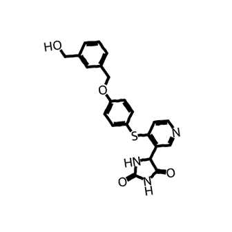 O=C1NC(=O)C(c2cnccc2Sc2ccc(OCc3cccc(CO)c3)cc2)N1